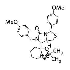 COc1ccc(CN2C(=O)N3C(c4ccc(OC)cc4)SC[C@H]3[C@@H]2C2(O[Si](C)(C)C)CCCCC2=O)cc1